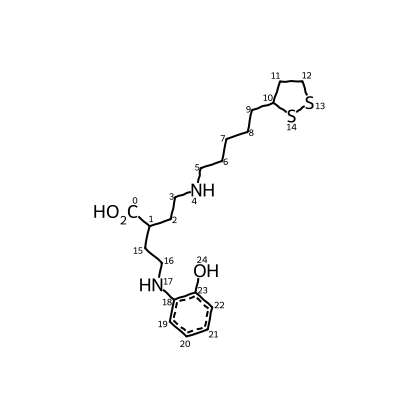 O=C(O)C(CCNCCCCCC1CCSS1)CCNc1ccccc1O